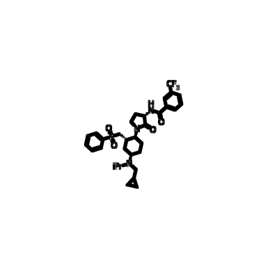 CC(C)N(CC1CC1)[C@@H]1CC[C@H](N2CC[C@H](NC(=O)c3cccc(C(F)(F)F)c3)C2=O)[C@@H](CS(=O)(=O)c2ccccc2)C1